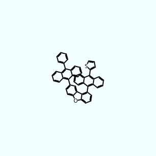 c1ccc(-c2c3ccccc3c(-c3ccc4oc5cccc(-c6c7ccccc7c(-c7cccs7)c7ccccc67)c5c4c3)c3ccccc23)cc1